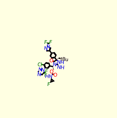 CC(C)(C)C[C@]1(c2ccc(-c3cnn(C(F)F)c3)cc2)NC(=N)N([C@H](COC(=O)N[C@@H]2C[C@@H]2F)c2ccc(Cl)c(N3N=CN=CC3(F)F)c2)C1=O